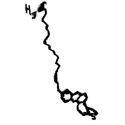 CCCCCCCCCCCCCCCCCc1ccc2cc3c(ccc4c5ccsc5ccc34)cc2c1